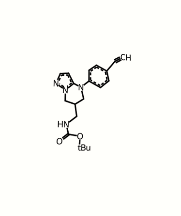 C#Cc1ccc(N2CC(CNC(=O)OC(C)(C)C)Cn3nccc32)cc1